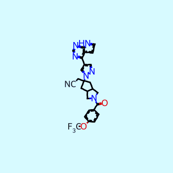 N#CCC1(n2cc(-c3ncnc4[nH]ccc34)cn2)CC2CN(C(=O)c3ccc(OC(F)(F)F)cc3)CC2C1